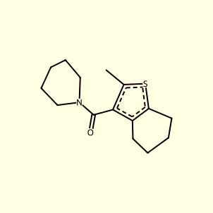 Cc1sc2c(c1C(=O)N1CCCCC1)CCCC2